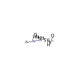 C=C(NC(C)CSC/C=C(/CC/C=C(\C)CCC=C(C)C)NNC=O)C(C)CC=O